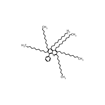 CCCCCCCCCCc1nc2c(-c3ccccc3)c(CCCCCCCCCC)c(CCCCCCCCCC)c(CCCCCCCCCC)c2c(CCCCCCCCCC)c1CCCCCCCCCC